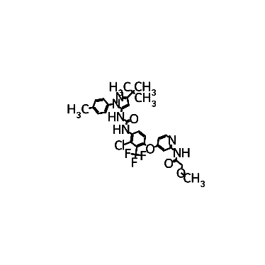 COCC(=O)Nc1cc(Oc2ccc(NC(=O)Nc3cc(C(C)(C)C)nn3-c3ccc(C)cc3)c(Cl)c2C(F)(F)F)ccn1